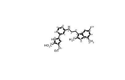 CCOc1cc(-c2cc(NCCc3c(C)sc4c(C)cc(F)cc34)ncn2)[nH]c1C(=O)O